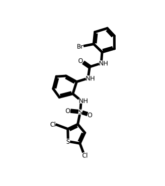 O=C(Nc1ccccc1Br)Nc1ccccc1NS(=O)(=O)c1cc(Cl)sc1Cl